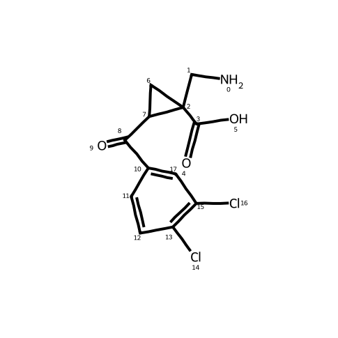 NCC1(C(=O)O)CC1C(=O)c1ccc(Cl)c(Cl)c1